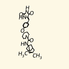 C[C@]12CC3CC(NC(=O)N4CCC(Oc5ccc(/C=C6\NC(=O)NC6=O)cc5)CC4)(C1)C[C@@](C)(C3)C2